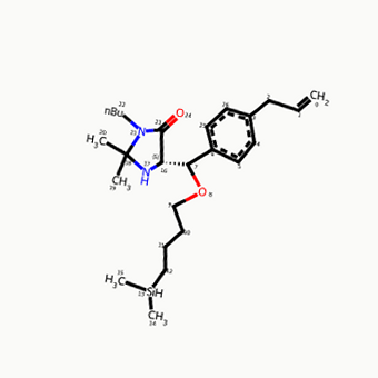 C=CCc1ccc(C(OCCCC[SiH](C)C)[C@@H]2NC(C)(C)N(CCCC)C2=O)cc1